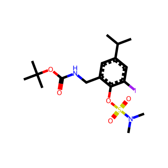 CC(C)c1cc(I)c(OS(=O)(=O)N(C)C)c(CNC(=O)OC(C)(C)C)c1